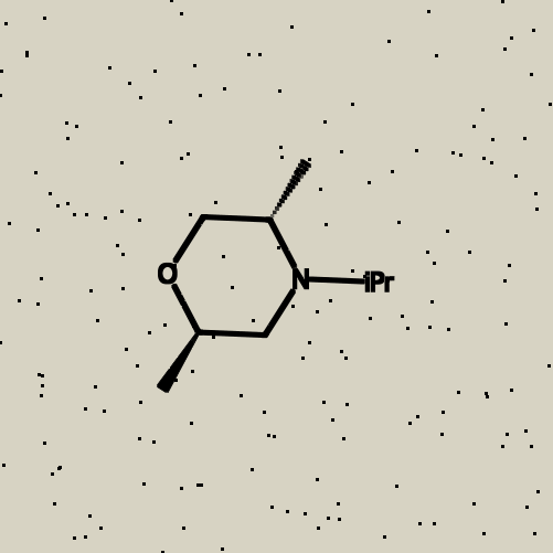 CC(C)N1C[C@@H](C)OC[C@@H]1C